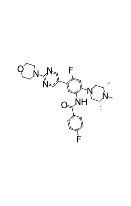 C[C@@H]1CN(c2cc(F)c(-c3cnc(N4CCOCC4)nc3)cc2NC(=O)c2ccc(F)cc2)C[C@H](C)N1C